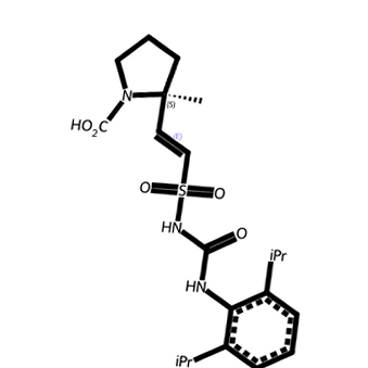 CC(C)c1cccc(C(C)C)c1NC(=O)NS(=O)(=O)/C=C/[C@]1(C)CCCN1C(=O)O